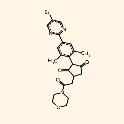 Cc1cc(-c2ncc(Br)cn2)cc(C)c1C1C(=O)CC(CC(=O)N2CCOCC2)C1=O